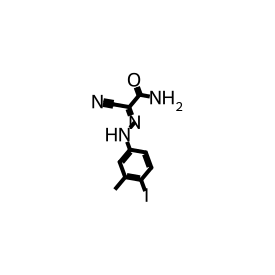 Cc1cc(N/N=C(\C#N)C(N)=O)ccc1I